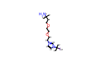 CC(C)(N)CCOCCOCC[n+]1ccn(C(C)(C)I)c1